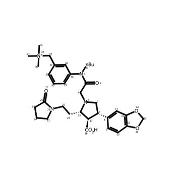 CCCCN(C(=O)CN1C[C@H](c2ccc3c(c2)OCO3)[C@@H](C(=O)O)[C@@H]1CCN1CCCC1=O)c1cccc(C[N+](C)(C)C)c1